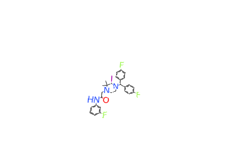 CC1(C)C(I)N(C(c2ccc(F)cc2)c2ccc(F)cc2)CCN1CC(=O)Nc1cccc(F)c1